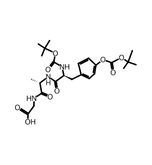 C[C@H](NC(=O)[C@H](Cc1ccc(OC(=O)OC(C)(C)C)cc1)NC(=O)OC(C)(C)C)C(=O)NCC(=O)O